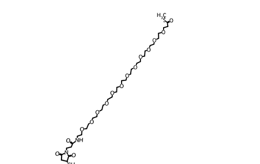 CSC(=O)CCOCCOCCOCCOCCOCCOCCOCCOCCOCCOCCOCCOCCNC(=O)CCN1C(=O)CC(C)C1=O